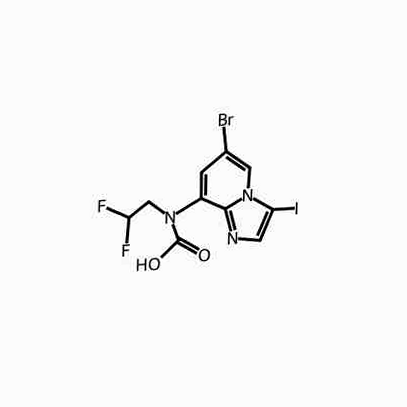 O=C(O)N(CC(F)F)c1cc(Br)cn2c(I)cnc12